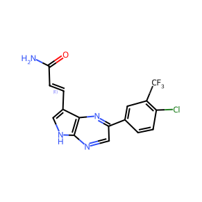 NC(=O)/C=C/c1c[nH]c2ncc(-c3ccc(Cl)c(C(F)(F)F)c3)nc12